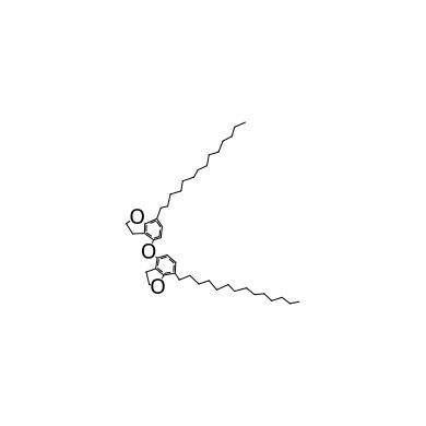 CCCCCCCCCCCCCCc1ccc(Oc2ccc(CCCCCCCCCCCCCC)c3c2CCO3)c2c1OCC2